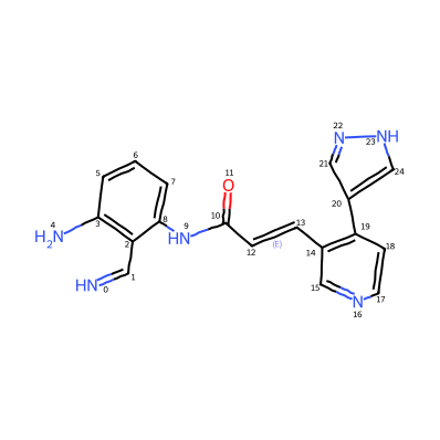 N=Cc1c(N)cccc1NC(=O)/C=C/c1cnccc1-c1cn[nH]c1